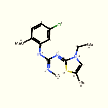 COc1ccc(Cl)cc1NC(=N/C#N)/N=c1\sc(C(C)(C)C)cn1CC(C)(C)C